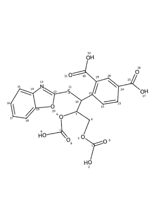 O=C(O)OCC(OC(=O)O)C(Sc1nc2ccccc2o1)c1ccc(C(=O)O)cc1C(=O)O